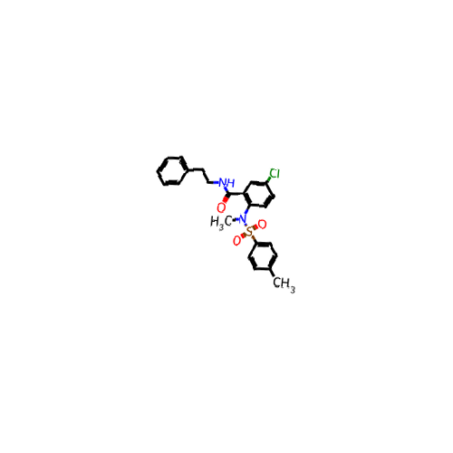 Cc1ccc(S(=O)(=O)N(C)c2ccc(Cl)cc2C(=O)NCCc2ccccc2)cc1